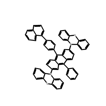 c1ccc(-c2c3ccc(N4c5ccccc5Oc5ccccc54)cc3c(-c3ccc(-c4cccc5ccccc45)cc3)c3ccc(N4c5ccccc5Oc5ccccc54)cc23)cc1